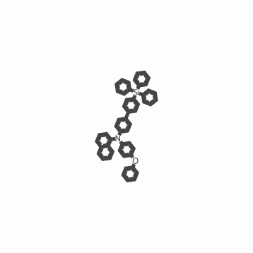 c1ccc(Oc2ccc(N(c3ccc(-c4ccc([Si](c5ccccc5)(c5ccccc5)c5ccccc5)cc4)cc3)c3cccc4ccccc34)cc2)cc1